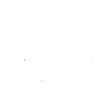 COC(=O)c1ccc(C)c(Cl)c1C